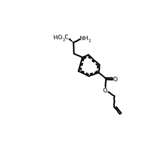 C=CCOC(=O)c1ccc(C[C@H](N)C(=O)O)cc1